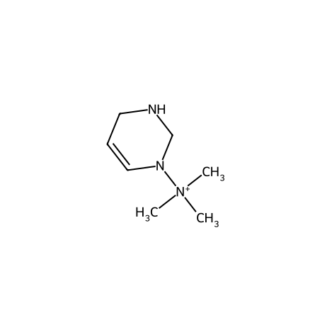 C[N+](C)(C)N1C=CCNC1